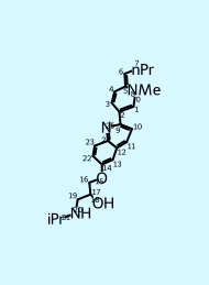 C\C=C(/C=C\C(=C\CCC)NC)c1ccc2cc(OCC(O)CNC(C)C)ccc2n1